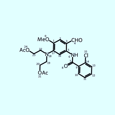 COc1cc(C=O)c(NC(=O)c2ccccc2Cl)cc1N(CCOC(C)=O)CCOC(C)=O